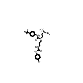 CN(C)CCN(CCCNC(=O)Nc1ccc(Br)cc1)C(=O)Nc1ccc(C(F)(F)F)cc1